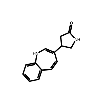 O=C1CC(C2=CNc3ccccc3C=C2)CN1